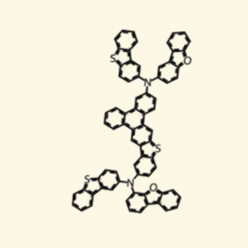 c1ccc2c(c1)oc1ccc(N(c3ccc4sc5ccccc5c4c3)c3ccc4c(c3)c3ccccc3c3cc5c(cc43)sc3ccc(N(c4ccc6sc7ccccc7c6c4)c4cccc6c4oc4ccccc46)cc35)cc12